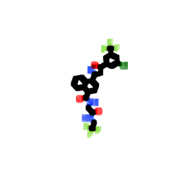 O=C(CNC(=O)c1ccc(C2=NOC(c3cc(Cl)cc(C(F)(F)F)c3)C2)c2ccccc12)NCC(F)(F)F